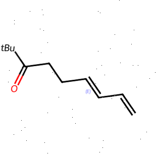 C=C/C=C/CCC(=O)C(C)(C)C